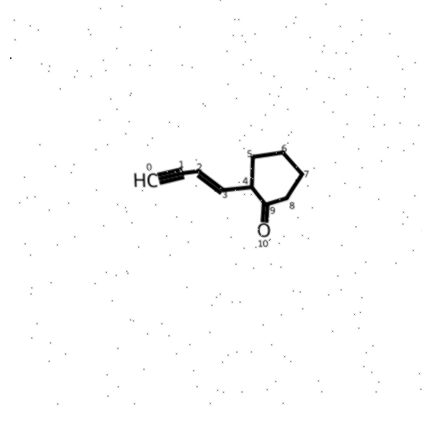 C#CC=CC1CCCCC1=O